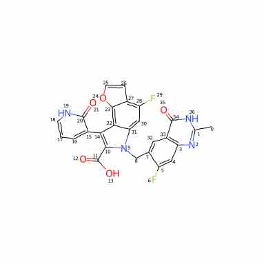 Cc1nc2cc(F)c(Cn3c(C(=O)O)c(-c4ccc[nH]c4=O)c4c5occc5c(F)cc43)cc2c(=O)[nH]1